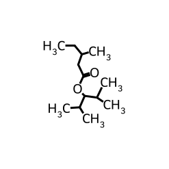 CCC(C)CC(=O)OC(C(C)C)C(C)C